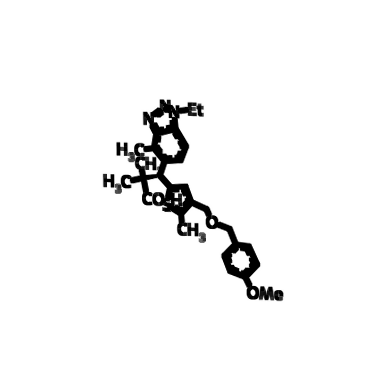 CCn1nnc2c(C)c([C@@H](c3cc(COCc4ccc(OC)cc4)c(C)s3)C(C)(C)C(=O)O)ccc21